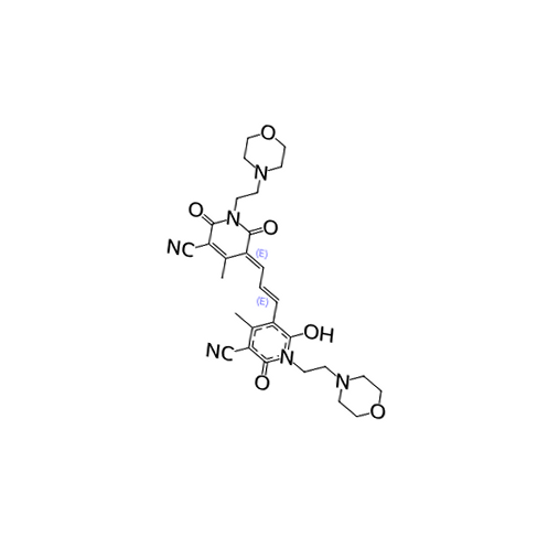 CC1=C(C#N)C(=O)N(CCN2CCOCC2)C(=O)/C1=C/C=C/c1c(C)c(C#N)c(=O)n(CCN2CCOCC2)c1O